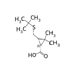 CC(C)(C)SCC1[C@@H](C(=O)O)C1(C)C